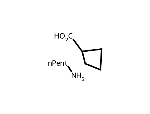 CCCCCN.O=C(O)C1CCC1